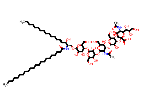 CCCCCCCCCCCCC/C=C/[C@@H](O)[C@H](CO[C@@H]1OC(CO)[C@@H](O[C@@H]2OC(CO)[C@H](O)[C@H](O[C@@H]3OC(CO)[C@@H](O)[C@H](O[C@@H]4OC(CO)[C@H](O)[C@H](O[C@]5(C(=O)O)CC(O)[C@@H](NC(C)=O)C([C@H](O)[C@H](O)CO)O5)C4O)C3NC(C)=O)C2O)[C@H](O)C1O)NC(=O)CCCCCCCCCCCCCCCCCCCCC